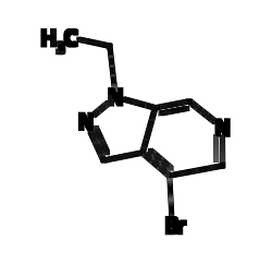 CCn1ncc2c(Br)cncc21